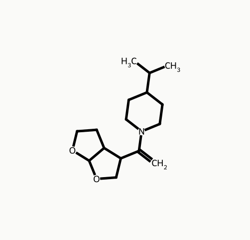 C=C(C1COC2OCCC21)N1CCC(C(C)C)CC1